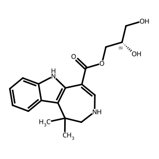 CC1(C)CNC=C(C(=O)OC[C@@H](O)CO)c2[nH]c3ccccc3c21